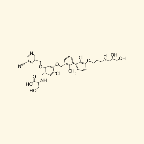 Cc1c(COc2cc(OCc3cncc(C#N)c3)c(CNC(CO)C(=O)O)cc2Cl)cccc1-c1cccc(OCCCNCC(O)CO)c1Cl